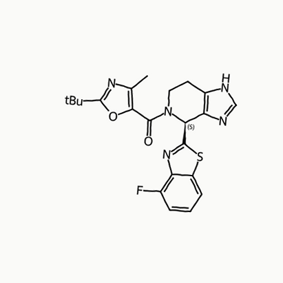 Cc1nc(C(C)(C)C)oc1C(=O)N1CCc2[nH]cnc2[C@H]1c1nc2c(F)cccc2s1